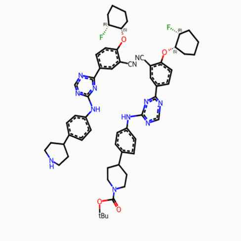 CC(C)(C)OC(=O)N1CCC(c2ccc(Nc3ncnc(-c4ccc(O[C@H]5CCCC[C@H]5F)c(C#N)c4)n3)cc2)CC1.N#Cc1cc(-c2ncnc(Nc3ccc(C4CCNCC4)cc3)n2)ccc1O[C@H]1CCCC[C@H]1F